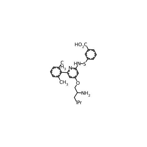 Cc1cccc(C)c1-c1cc(OCC(N)CC(C)C)cc(NSc2cccc(C(=O)O)c2)n1